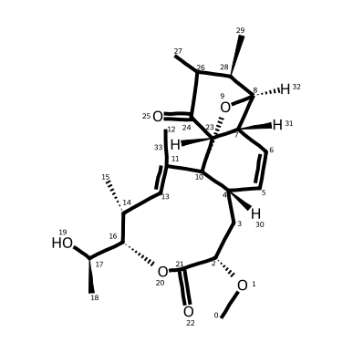 CO[C@H]1C[C@H]2C=C[C@H]3[C@H]4O[C@]2(/C(C)=C/[C@@H](C)[C@@H]([C@@H](C)O)OC1=O)[C@@H]3C(=O)C(C)[C@H]4C